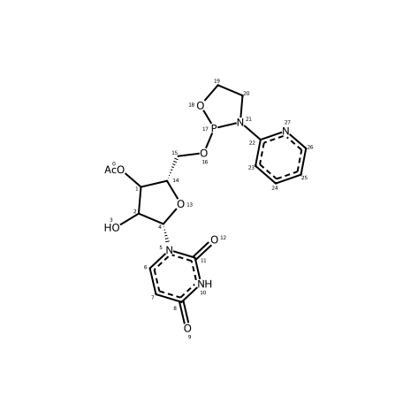 CC(=O)OC1C(O)[C@@H](n2ccc(=O)[nH]c2=O)O[C@H]1COP1OCCN1c1ccccn1